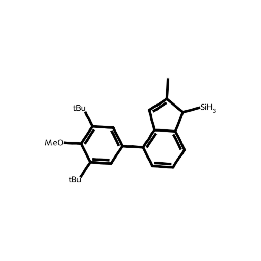 COc1c(C(C)(C)C)cc(-c2cccc3c2C=C(C)C3[SiH3])cc1C(C)(C)C